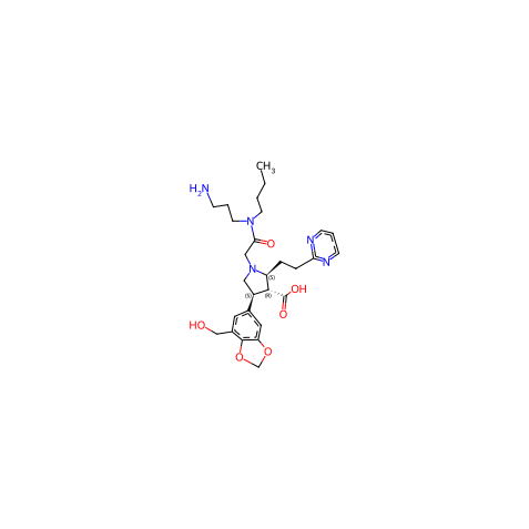 CCCCN(CCCN)C(=O)CN1C[C@H](c2cc(CO)c3c(c2)OCO3)[C@@H](C(=O)O)[C@@H]1CCc1ncccn1